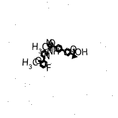 COc1ccc(F)cc1-c1cccc(Nc2c(C)noc2-c2ccc(-c3ccc(C4(C(=O)O)CC4)cc3)cc2)n1